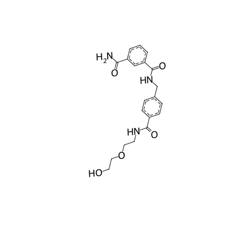 NC(=O)c1cccc(C(=O)NCc2ccc(C(=O)NCCOCCO)cc2)c1